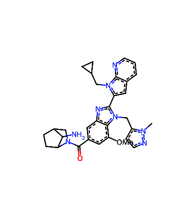 COc1cc(C(=O)N2CC3CCC2C3N)cc2nc(-c3cc4cccnc4n3CC3CC3)n(Cc3ccnn3C)c12